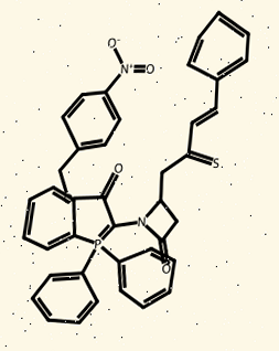 O=C(OCc1ccc([N+](=O)[O-])cc1)C(N1C(=O)CC1CC(=S)C=Cc1ccccc1)=P(c1ccccc1)(c1ccccc1)c1ccccc1